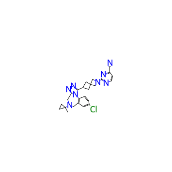 CC1(N2Cc3cc(Cl)ccc3-n3c(nnc3C3CC4(C3)CN(c3nccc(C#N)n3)C4)C2)CC1